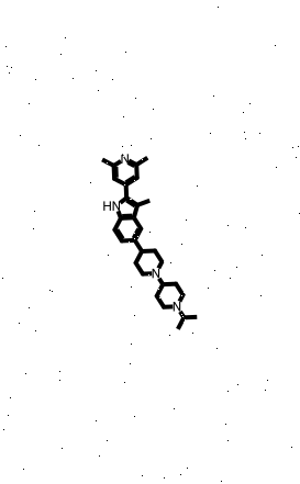 Cc1cc(-c2[nH]c3ccc(C4CCN(C5CCN(C(C)C)CC5)CC4)cc3c2C)cc(C)n1